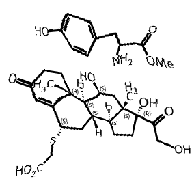 COC(=O)C(N)Cc1ccc(O)cc1.C[C@]12CCC(=O)C=C1[C@@H](SCC(=O)O)C[C@@H]1[C@@H]2[C@@H](O)C[C@@]2(C)[C@H]1CC[C@]2(O)C(=O)CO